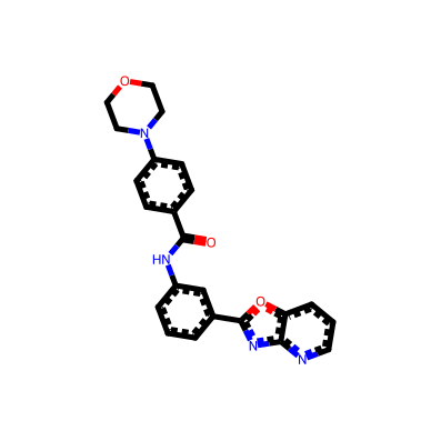 O=C(Nc1cccc(-c2nc3ncccc3o2)c1)c1ccc(N2CCOCC2)cc1